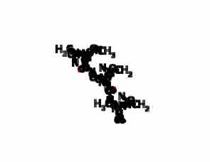 C=CC(=O)N1CCN(c2nc(OC[C@@H]3CN(C)CCO3)nc3c2CCN(c2cc(CN4CCO[C@@H](COc5nc6c(c(N7CCN(C(=O)C=C)C(CC#N)C7)n5)CCN(c5ccc(C7C[C@@H](COc8nc9c(c(N%10CCN(C(=O)C=C)[C@@H](CC#N)C%10)n8)CCN(c8cccc%10cccn8%10)C9)N(C)C7)c7ccccc57)C6)C4)cc4ccccc24)C3)CC1CC#N